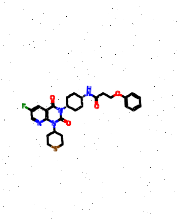 O=C(CCOc1ccccc1)N[C@H]1CC[C@@H](n2c(=O)c3cc(F)cnc3n(C3CCSCC3)c2=O)CC1